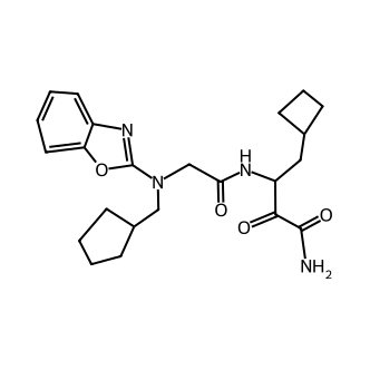 NC(=O)C(=O)C(CC1CCC1)NC(=O)CN(CC1CCCC1)c1nc2ccccc2o1